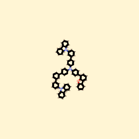 c1cc(-c2ccc(N(c3ccc(-c4cccc(-n5c6ccccc6c6ccccc65)c4)cc3)c3ccc(-c4cccc5c4oc4ccccc45)cc3)cc2)cc(-c2cccc(-n3c4ccccc4c4ccccc43)c2)c1